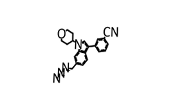 N#Cc1cccc(-c2cn(C3CCOCC3)c3cc(CN=[N+]=[N-])ccc23)c1